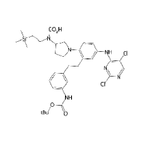 CC(C)(C)OC(=O)Nc1cccc(CCc2cc(Nc3nc(Cl)ncc3Cl)ccc2N2CCC(N(CC[Si](C)(C)C)C(=O)O)C2)c1